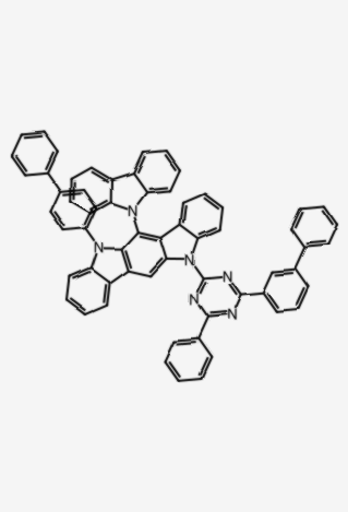 c1ccc(-c2ccc(-n3c4ccccc4c4cc5c(c(-n6c7ccccc7c7ccccc76)c43)c3ccccc3n5-c3nc(-c4ccccc4)nc(-c4cccc(-c5ccccc5)c4)n3)cc2)cc1